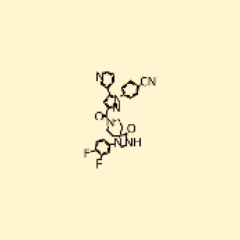 N#Cc1ccc(-n2nc(C(=O)N3CCC4(CC3)C(=O)NCN4c3ccc(F)c(F)c3)cc2-c2cccnc2)cc1